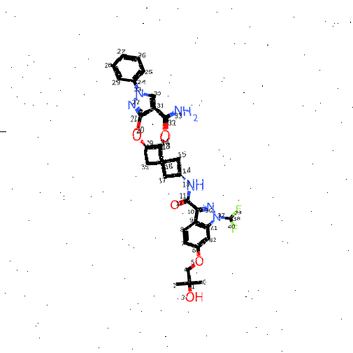 CC(C)(O)COc1ccc2c(C(=O)N[C@H]3CC4(C3)C[C@H](Oc3nn(-c5ccccc5)cc3C(N)=O)C4)nn(C(F)F)c2c1